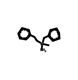 C[Si](N)(CCc1ccccc1)Cc1ccccc1